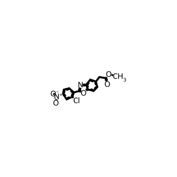 COC(=O)Cc1ccc2oc(-c3ccc([N+](=O)[O-])cc3Cl)nc2c1